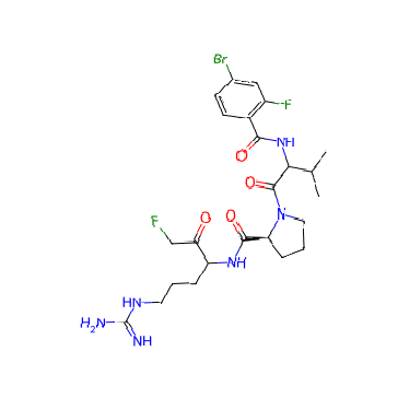 CC(C)C(NC(=O)c1ccc(Br)cc1F)C(=O)N1CCC[C@H]1C(=O)NC(CCCNC(=N)N)C(=O)CF